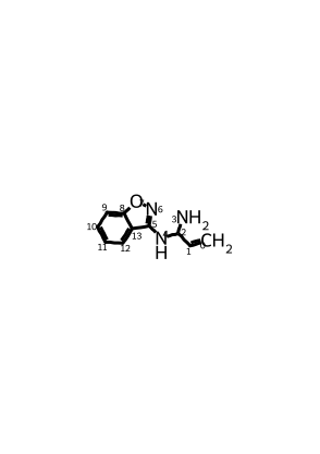 C=CC(N)Nc1noc2ccccc12